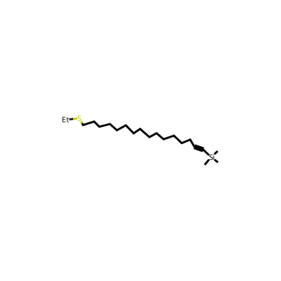 CCSCCCCCCCCCCCCCCC#C[Si](C)(C)C